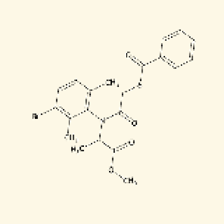 COC(=O)C(C)N(C(=O)CSC(=O)c1ccccc1)c1c(C)ccc(Br)c1C